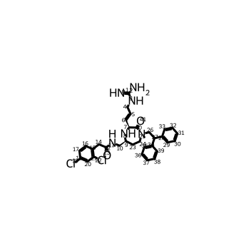 N=C(N)NC/C=C/[C@@H]1N[C@H](CNC(=O)Cc2ccc(Cl)cc2Cl)CCN(CC(c2ccccc2)c2ccccc2)C1=O